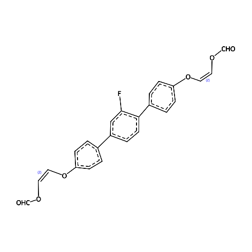 O=CO/C=C\Oc1ccc(-c2ccc(-c3ccc(O/C=C\OC=O)cc3)c(F)c2)cc1